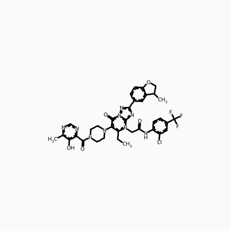 CCc1c(N2CCN(C(=O)c3ncnc(C)c3O)CC2)c(=O)n2nc(-c3ccc4c(c3)C(C)CO4)nc2n1CC(=O)Nc1ccc(C(F)(F)F)cc1Cl